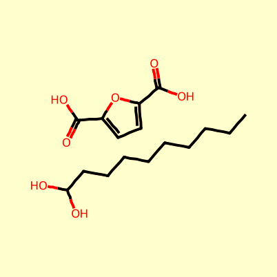 CCCCCCCCCC(O)O.O=C(O)c1ccc(C(=O)O)o1